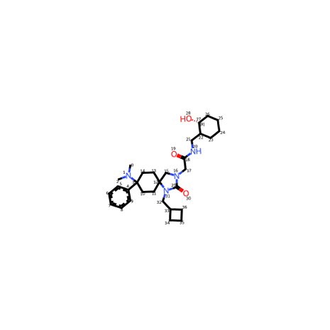 CN(C)C1(c2ccccc2)CCC2(CC1)CN(CC(=O)NCC1CCCC[C@H]1O)C(=O)N2CC1CCC1